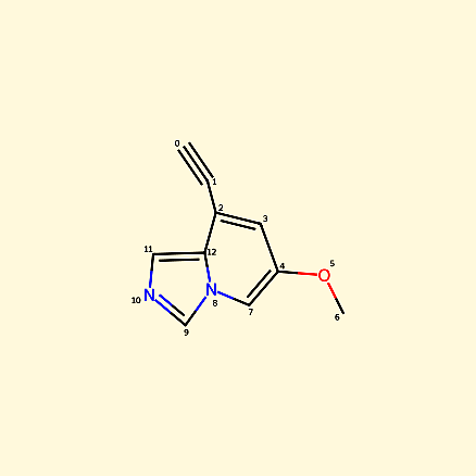 C#Cc1cc(OC)cn2cncc12